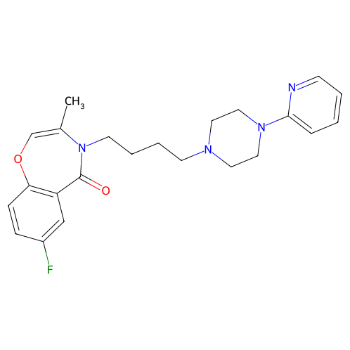 CC1=COc2ccc(F)cc2C(=O)N1CCCCN1CCN(c2ccccn2)CC1